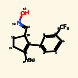 CCCCC1=C(c2cccc(C(F)(F)F)c2)C(C=NO)CC1